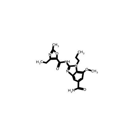 CCCn1c(NC(=O)c2oc(C)nc2CC)nc2cc(C(N)=O)cc(OC)c21